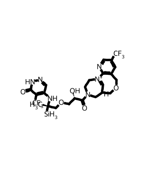 C[C@]([SiH3])(COC[C@H](O)C(=O)N1CC[N+]2=C[C@@H](COCc3cc(C(F)(F)F)cnc32)C1)Nc1cn[nH]c(=O)c1C(F)(F)F